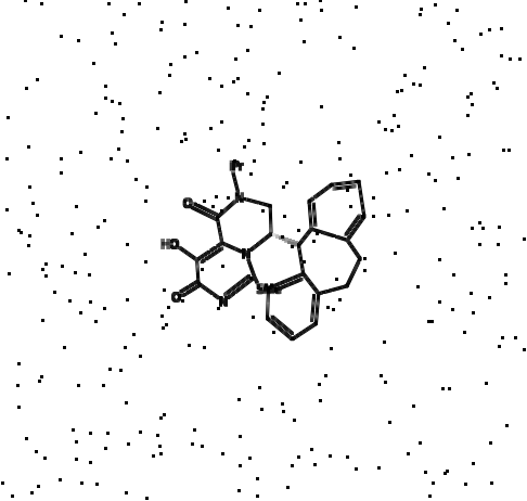 CSc1nc(=O)c(O)c2n1[C@@H](C1c3ccccc3CCc3ccccc31)CN(C(C)C)C2=O